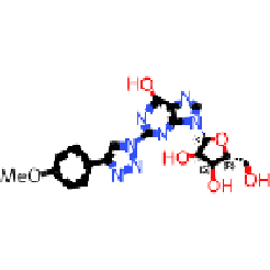 COc1ccc(-c2cn(-c3nc(O)c4ncn([C@@H]5O[C@H](CO)[C@@H](O)[C@H]5O)c4n3)nn2)cc1